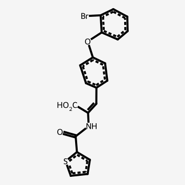 O=C(O)/C(=C\c1ccc(Oc2ccccc2Br)cc1)NC(=O)c1cccs1